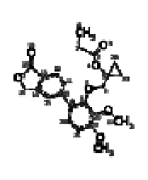 CCC(=O)OC1(COc2c(-c3ccc4c(c3)COC4=O)ccc(OC)c2OC)CC1